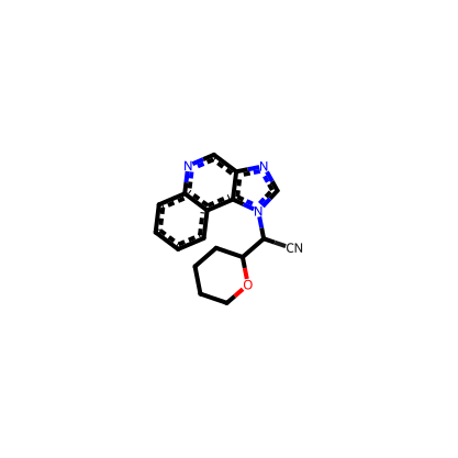 N#CC(C1CCCCO1)n1cnc2cnc3ccccc3c21